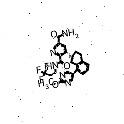 COc1ncc(-c2cccc3c2C[C@H](c2cc(C(N)=O)cnc2C(=O)NCCC(F)(F)F)CC3)cn1